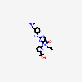 C=CCn1c(=O)c2cnc(Nc3cccc(CN(C)C)c3)nc2n1-c1cccc(C(C)(C)O)n1